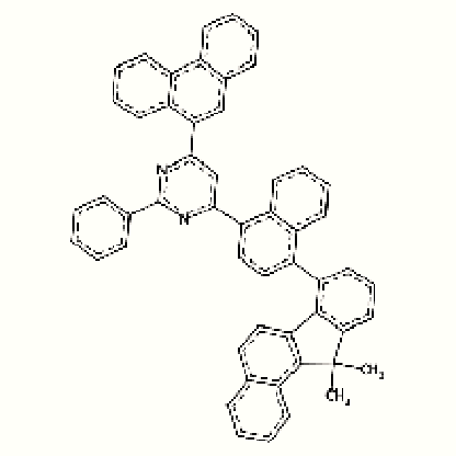 CC1(C)c2cccc(-c3ccc(-c4cc(-c5cc6ccccc6c6ccccc56)nc(-c5ccccc5)n4)c4ccccc34)c2-c2ccc3ccccc3c21